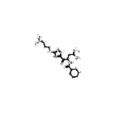 CC(C)CC(NC(=O)C1CCCCC1)C(=O)c1nnc(SCCCN(C)C)o1